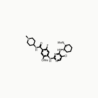 CN[C@@H]1CCCC[C@H]1Nc1nc(Nc2cc(F)c(C(=O)NC3CCN(C)CC3)cc2OC)ncc1Cl